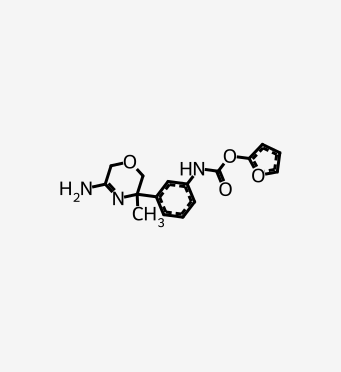 CC1(c2cccc(NC(=O)Oc3ccco3)c2)COCC(N)=N1